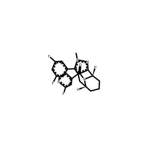 Cn1nc2c(c1-c1cc(F)cc(F)c1)C[C@H]1CCC[C@@H]2N1C(=O)c1ccnc(F)c1